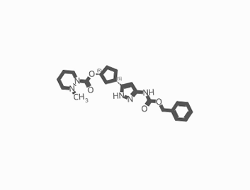 CN1CCCCN1C(=O)O[C@@H]1CC[C@H](c2cc(NC(=O)OCc3ccccc3)n[nH]2)C1